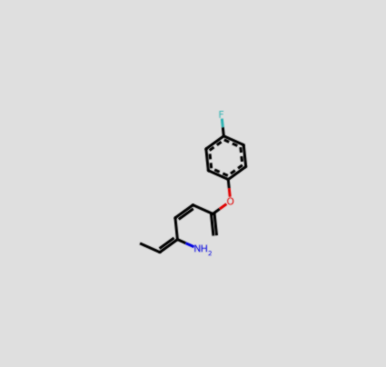 C=C(/C=C\C(N)=C/C)Oc1ccc(F)cc1